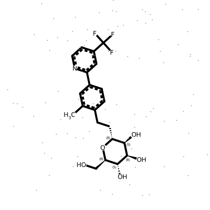 Cc1cc(-c2cc(C(F)(F)F)ccn2)ccc1CC[C@H]1O[C@H](CO)[C@@H](O)[C@H](O)[C@@H]1O